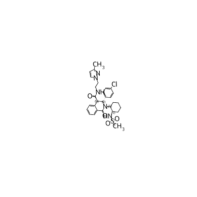 Cc1ccn(CCNC(=O)[C@@H]2c3ccccc3C(=O)N([C@H]3CCCC[C@@H]3NS(C)(=O)=O)[C@H]2c2ccc(Cl)cc2)n1